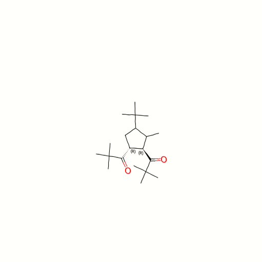 CC1C(C(C)(C)C)C[C@@H](C(=O)C(C)(C)C)[C@@H]1C(=O)C(C)(C)C